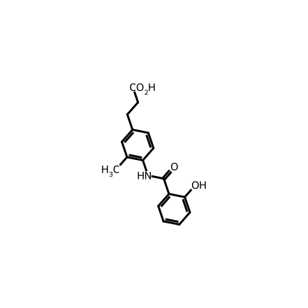 Cc1cc(CCC(=O)O)ccc1NC(=O)c1ccccc1O